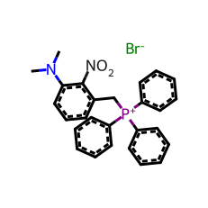 CN(C)c1cccc(C[P+](c2ccccc2)(c2ccccc2)c2ccccc2)c1[N+](=O)[O-].[Br-]